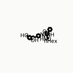 CCCCCCNC(=O)c1[nH]n(-c2ccccc2)c(=O)c1N=Nc1ccc(CCc2cc(O)ccc2O)cc1